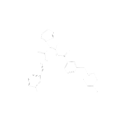 O=C(Nc1sc2ccccc2c1C(=O)NN=Cc1cccc(F)c1)c1cccc(CN2CCC(CO)CC2)c1